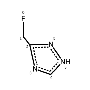 FCc1nc[nH]n1